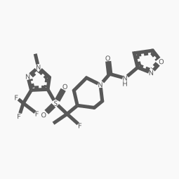 Cn1cc(S(=O)(=O)C(C)(F)C2CCN(C(=O)Nc3ccon3)CC2)c(C(F)(F)F)n1